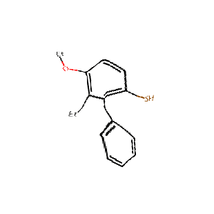 CCOc1ccc(S)c(-c2ccccc2)c1CC